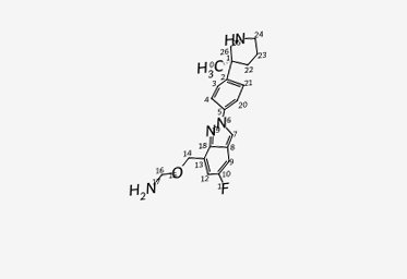 C[C@@]1(c2ccc(-n3cc4cc(F)cc(COCN)c4n3)cc2)CCCNC1